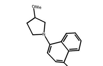 COC1CCN(c2ccc(C#N)c3ccccc23)C1